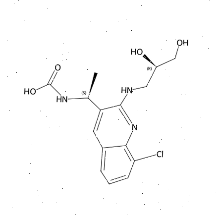 C[C@H](NC(=O)O)c1cc2cccc(Cl)c2nc1NC[C@@H](O)CO